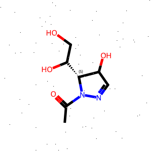 CC(=O)N1N=CC(O)[C@H]1C(O)CO